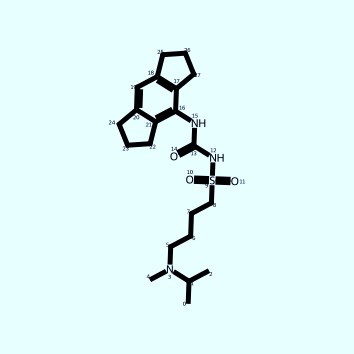 CC(C)N(C)CCCCS(=O)(=O)NC(=O)Nc1c2c(cc3c1CCC3)CCC2